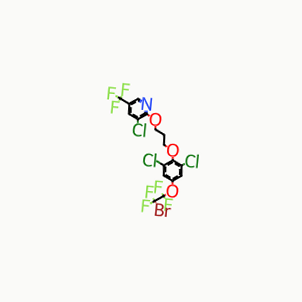 FC(F)(F)c1cnc(OCCCOc2c(Cl)cc(OC(F)(F)C(F)(F)Br)cc2Cl)c(Cl)c1